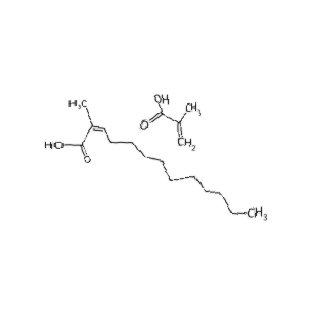 C=C(C)C(=O)O.CCCCCCCCCCC=C(C)C(=O)O